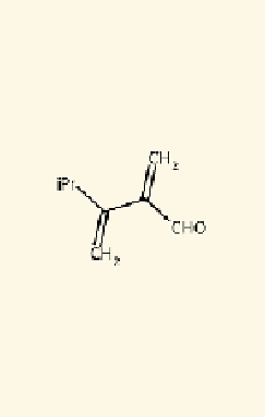 C=C(C=O)C(=C)C(C)C